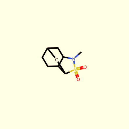 CN1C2CC3CCC2C(C3)S1(=O)=O